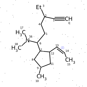 C#CC(CC)CCC(C1CC(C)CC1/C=C\C)N(C)C